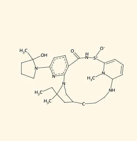 CCC1(C)CC2CCCNC3C=CC=C(N3C)[S+]([O-])NC(=O)c3ccc(N4CCCC4(C)O)nc3N1C2